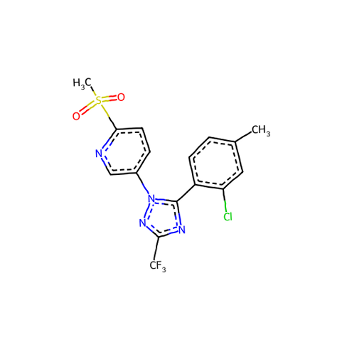 Cc1ccc(-c2nc(C(F)(F)F)nn2-c2ccc(S(C)(=O)=O)nc2)c(Cl)c1